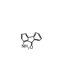 Nc1cccc2c1C(=O)c1ccccc1-2